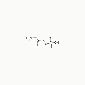 CP(=O)(O)OCC(=O)CN